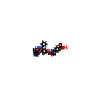 O=C(NC(c1ccccc1)c1cccc(OCc2nc(-c3ccc(C(=O)O)cc3)no2)c1)O[C@H]1CN2CCC1CC2